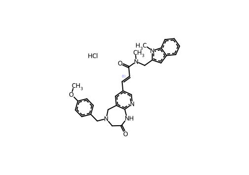 COc1ccc(CN2CC(=O)Nc3ncc(/C=C/C(=O)N(C)Cc4cc5ccccc5n4C)cc3C2)cc1.Cl